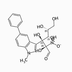 Cn1cc([C@](O)([C@@H](O)[C@H](O)CO)[C@@](O)(C=O)[N+](=O)[O-])c2cc(-c3ccccc3)ccc21